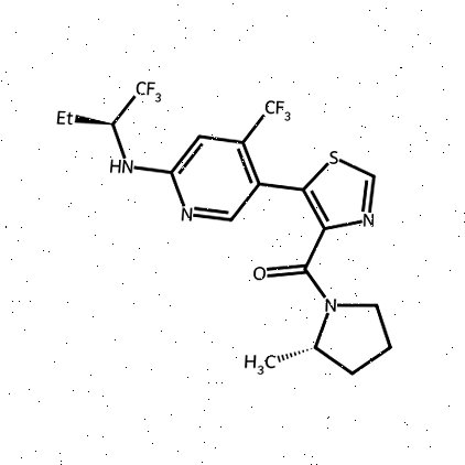 CC[C@H](Nc1cc(C(F)(F)F)c(-c2scnc2C(=O)N2CCC[C@@H]2C)cn1)C(F)(F)F